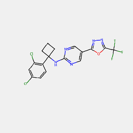 FC(F)(F)c1nnc(-c2cnc(NC3(c4ccc(Cl)cc4Cl)CCC3)nc2)o1